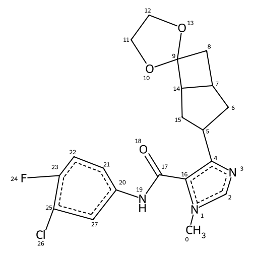 Cn1cnc(C2CC3CC4(OCCO4)C3C2)c1C(=O)Nc1ccc(F)c(Cl)c1